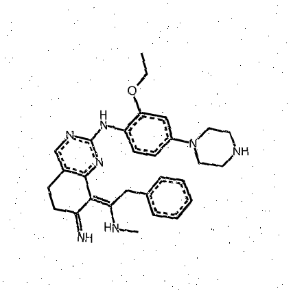 CCOc1cc(N2CCNCC2)ccc1Nc1ncc2c(n1)/C(=C(\Cc1ccccc1)NC)C(=N)CC2